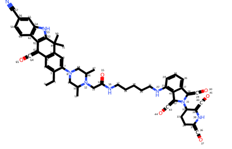 CCc1cc2c(cc1N1CC(C)N(CC(=O)NCCCCCNc3cccc4c(=C=O)n(C5CCC(=C=O)NC5=C=O)c(=C=O)c34)C(C)C1)C(C)(C)c1[nH]c3cc(C#N)ccc3c1C2=C=O